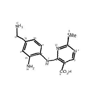 CSc1ncc(C(=O)O)c(Nc2ccc(CN)cc2N)n1